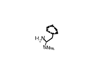 CN[C@@H](N)Cc1ccccc1